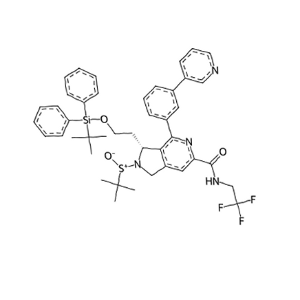 CC(C)(C)[S+]([O-])N1Cc2cc(C(=O)NCC(F)(F)F)nc(-c3cccc(-c4cccnc4)c3)c2[C@H]1CCO[Si](c1ccccc1)(c1ccccc1)C(C)(C)C